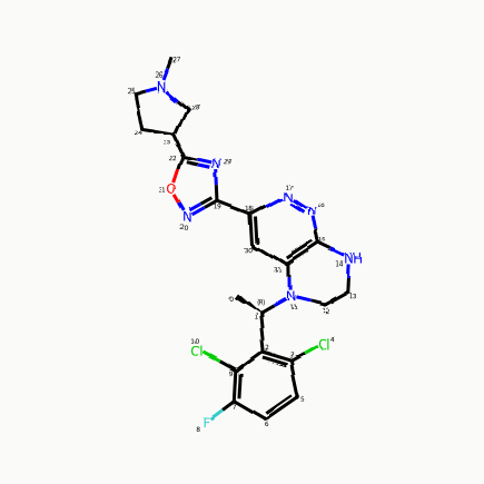 C[C@H](c1c(Cl)ccc(F)c1Cl)N1CCNc2nnc(-c3noc(C4CCN(C)C4)n3)cc21